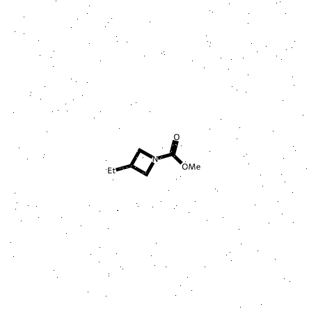 CCC1CN(C(=O)OC)C1